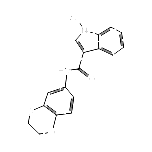 CC(=O)n1cc(C(=O)Nc2ccc3c(c2)OCCO3)c2ccccc21